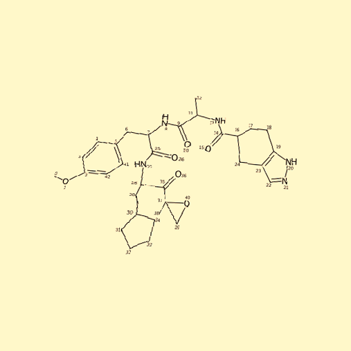 COc1ccc(CC(NC(=O)C(C)NC(=O)C2CCc3[nH]ncc3C2)C(=O)NC(CC2CCCC2)C(=O)C2(C)CO2)cc1